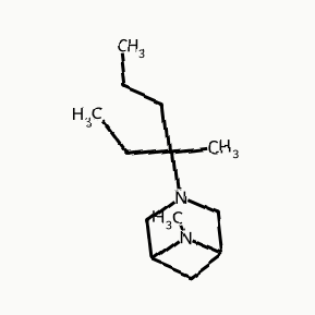 CCCC(C)(CC)N1CC2CC(C1)N2C